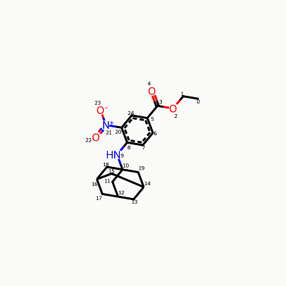 CCOC(=O)c1ccc(NC23CC4CC(CC(C4)C2)C3)c([N+](=O)[O-])c1